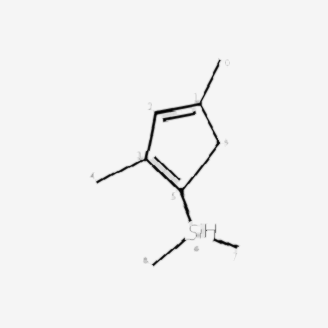 CC1=CC(C)=C([SiH](C)C)C1